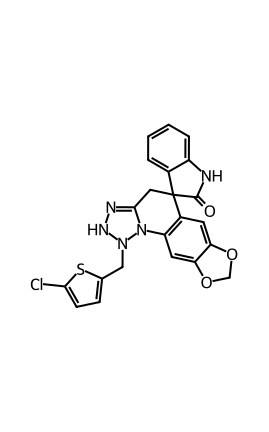 O=C1Nc2ccccc2C12CC1=NNN(Cc3ccc(Cl)s3)N1c1cc3c(cc12)OCO3